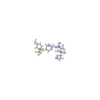 COc1ccc(Oc2ccc(CNC(=O)C3(NC(=O)c4ccns4)CC3)nc2)c(C(F)(F)F)c1